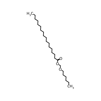 CCCCCCCCCCCCCCCCCC(=O)OCOCCCCCC